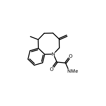 C=C1CCC(C)c2ccccc2N(C(=O)C(=O)NC)C1